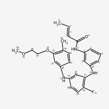 C/C=C/C(=O)Nc1cccc(Nc2nc(Nc3ccc(C)c(OCCOC)c3)ncc2F)c1